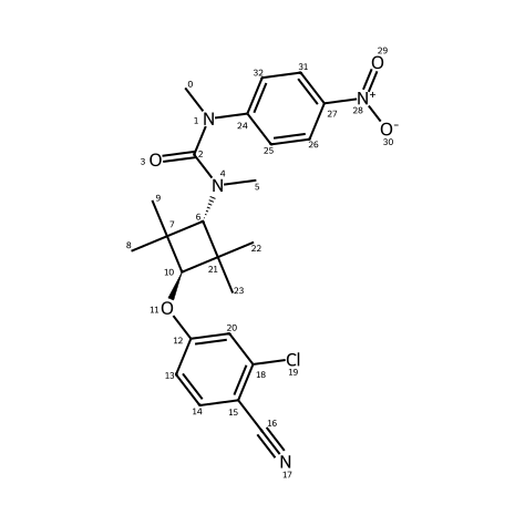 CN(C(=O)N(C)[C@H]1C(C)(C)[C@H](Oc2ccc(C#N)c(Cl)c2)C1(C)C)c1ccc([N+](=O)[O-])cc1